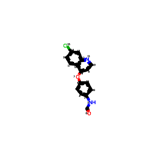 O=CNc1ccc(Oc2ccnc3cc(Cl)ccc23)cc1